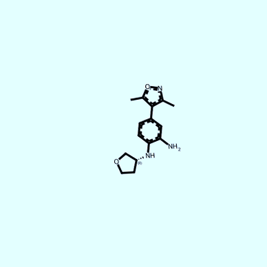 Cc1noc(C)c1-c1ccc(N[C@@H]2CCOC2)c(N)c1